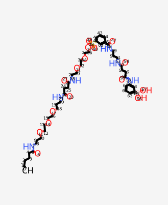 C#CCCCC(=O)NCCCOCCOCCOCCCNC(=O)CCC(=O)NCCOCCOCCOS(=O)(=O)c1cccc(C(=O)NCCCNC(=O)CCC(=O)Nc2cccc(B(O)O)c2)c1